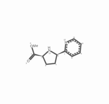 COC(=O)[C@@H]1CC[C@H](c2ccccn2)N1